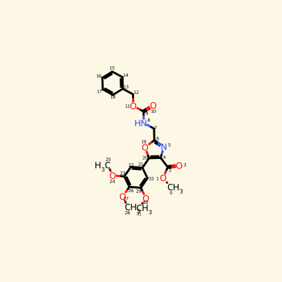 COC(=O)c1nc(CNC(=O)OCc2ccccc2)oc1-c1cc(OC)c(OC)c(OC)c1